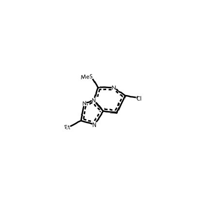 CCc1nc2cc(Cl)nc(SC)n2n1